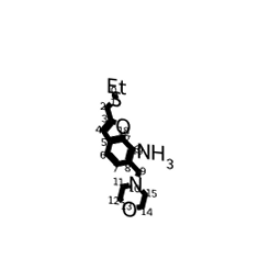 CCSCc1cc2ccc(CN3CCOCC3)cc2o1.N